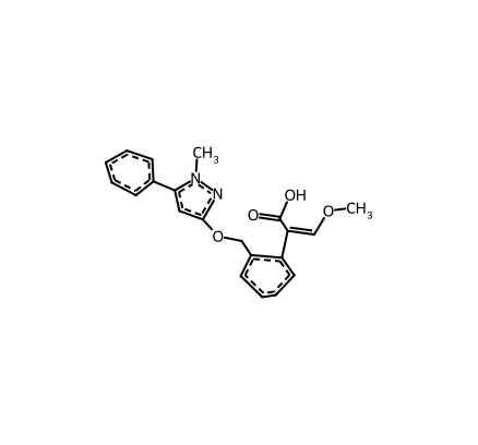 COC=C(C(=O)O)c1ccccc1COc1cc(-c2ccccc2)n(C)n1